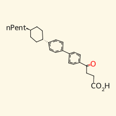 CCCCC[C@H]1CC[C@H](c2ccc(-c3ccc(C(=O)CCC(=O)O)cc3)cc2)CC1